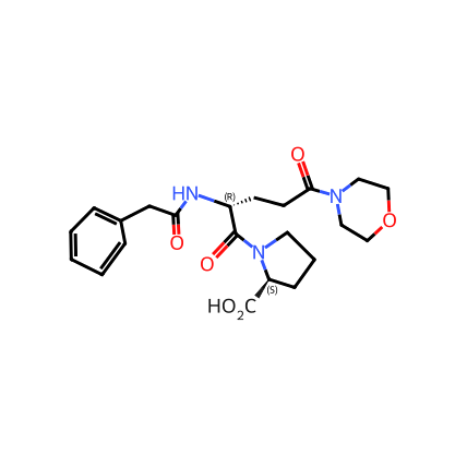 O=C(Cc1ccccc1)N[C@H](CCC(=O)N1CCOCC1)C(=O)N1CCC[C@H]1C(=O)O